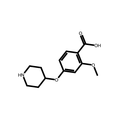 COc1cc(OC2CCNCC2)ccc1C(=O)O